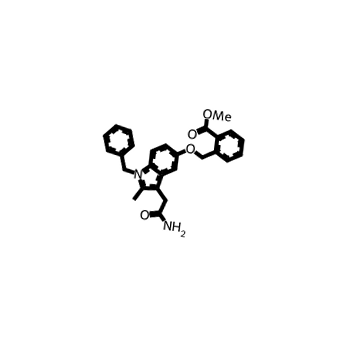 COC(=O)c1ccccc1COc1ccc2c(c1)c(CC(N)=O)c(C)n2Cc1ccccc1